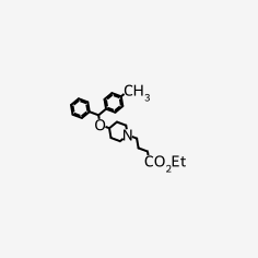 CCOC(=O)CCCN1CCC(OC(c2ccccc2)c2ccc(C)cc2)CC1